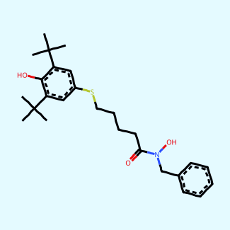 CC(C)(C)c1cc(SCCCCC(=O)N(O)Cc2ccccc2)cc(C(C)(C)C)c1O